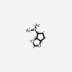 CC(=O)N(C(C)=O)C1CCC2OCOC21